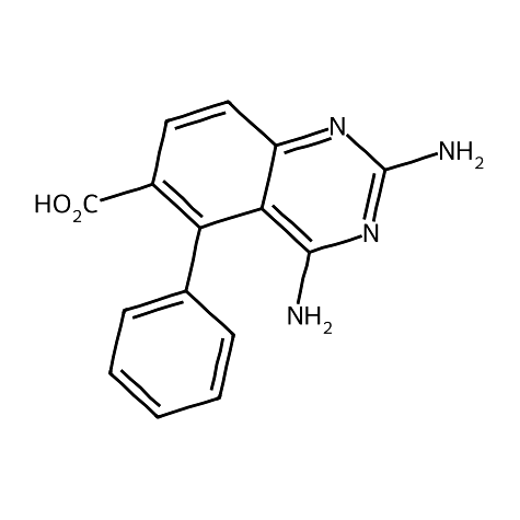 Nc1nc(N)c2c(-c3ccccc3)c(C(=O)O)ccc2n1